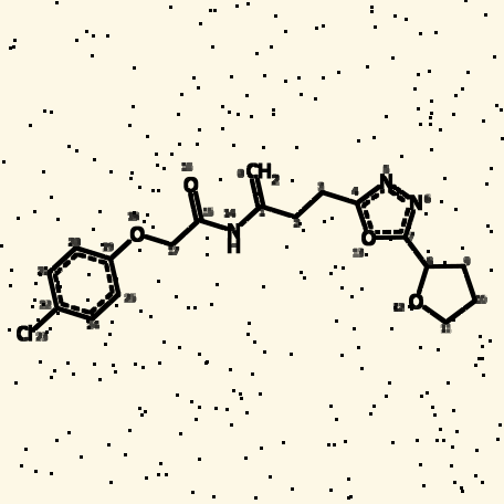 C=C(CCc1nnc(C2CCCO2)o1)NC(=O)COc1ccc(Cl)cc1